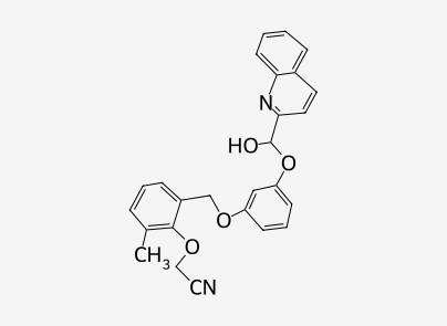 Cc1cccc(COc2cccc(OC(O)c3ccc4ccccc4n3)c2)c1OCC#N